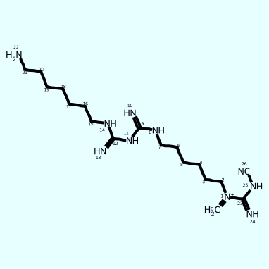 C=[N+](CCCCCCNC(=N)NC(=N)NCCCCCCCN)C(=N)NC#N